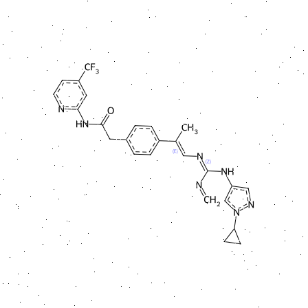 C=N/C(=N\C=C(/C)c1ccc(CC(=O)Nc2cc(C(F)(F)F)ccn2)cc1)Nc1cnn(C2CC2)c1